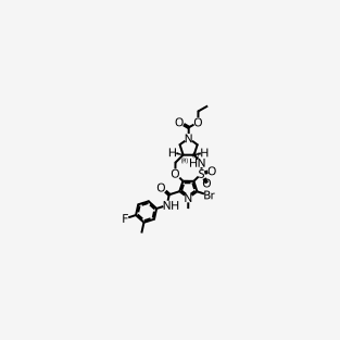 CCOC(=O)N1C[C@H]2COc3c(c(Br)n(C)c3C(=O)Nc3ccc(F)c(C)c3)S(=O)(=O)N[C@H]2C1